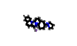 [I-].c1ccc2c(c1)ccc1c[n+]3c4ccc(N5CCCC5)cc4ccc3n12